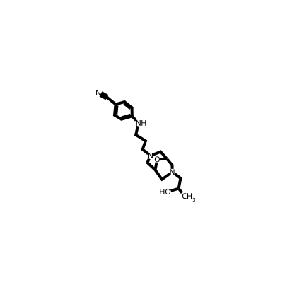 CC(O)CN1CC2CN(CCCNc3ccc(C#N)cc3)CC(C1)O2